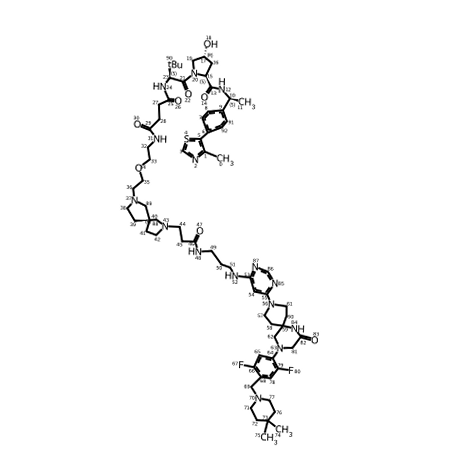 Cc1ncsc1-c1ccc([C@H](C)NC(=O)[C@@H]2C[C@@H](O)CN2C(=O)[C@@H](NC(=O)CCC(=O)NCCOCCN2CC[C@@]3(CCN(CCC(=O)NCCCNc4cc(N5CCC6(CC5)CN(c5cc(F)c(CN7CCC(C)(C)CC7)cc5F)CC(=O)N6)ncn4)C3)C2)C(C)(C)C)cc1